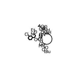 CCOc1cc(O[C@@H]2C[C@H]3C(=O)N[C@]4(C(=O)NS(=O)(=O)OC5(C)CC5)C[C@H]4CCCCCCC[C@H](NC(=O)OC(C)(C)C)C(=O)N3C2)c2cccc(Cl)c2n1